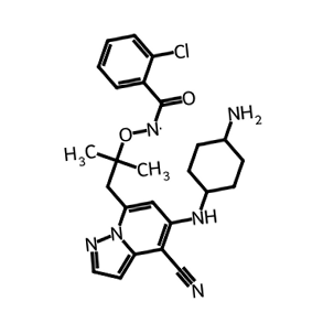 CC(C)(Cc1cc(NC2CCC(N)CC2)c(C#N)c2ccnn12)O[N]C(=O)c1ccccc1Cl